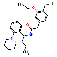 CCCC(NC(=O)Cc1ccc(CCl)c(OCC)c1)c1ccccc1N1CCCCC1